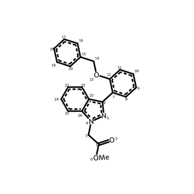 COC(=O)Cn1nc(-c2ccccc2OCc2ccccc2)c2ccccc21